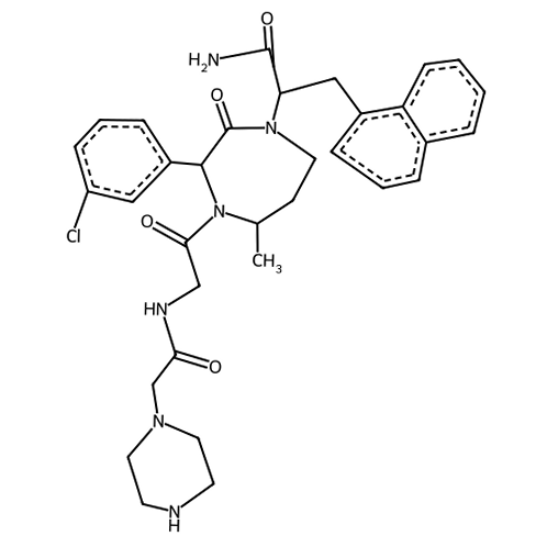 CC1CCN(C(Cc2cccc3ccccc23)C(N)=O)C(=O)C(c2cccc(Cl)c2)N1C(=O)CNC(=O)CN1CCNCC1